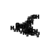 CC(C)[C@H](NC(=O)OC(C)(C)C)C(=O)NC(CCCNC(N)=O)CNc1ccc(CO)cc1